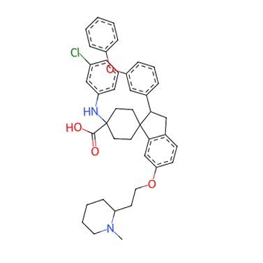 CN1CCCCC1CCOc1ccc2c(c1)C1(CCC(Nc3cccc(Cl)c3)(C(=O)O)CC1)C(c1cccc(Oc3ccccc3)c1)C2